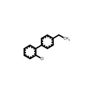 C[CH]c1ccc(-c2ccccc2Cl)cc1